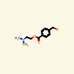 CN(C)CCOC(=O)c1ccc(CBr)cc1